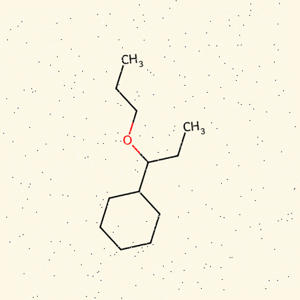 CCCOC(CC)C1CCCCC1